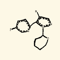 Fc1ccc(-c2c(Br)cnn2C2CCCCO2)nc1